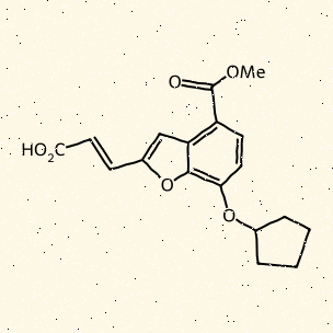 COC(=O)c1ccc(OC2CCCC2)c2oc(C=CC(=O)O)cc12